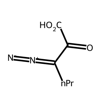 CCCC(=[N+]=[N-])C(=O)C(=O)O